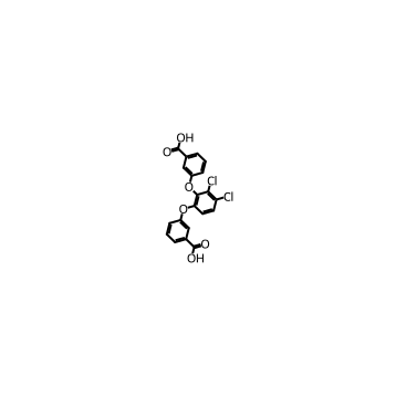 O=C(O)c1cccc(Oc2ccc(Cl)c(Cl)c2Oc2cccc(C(=O)O)c2)c1